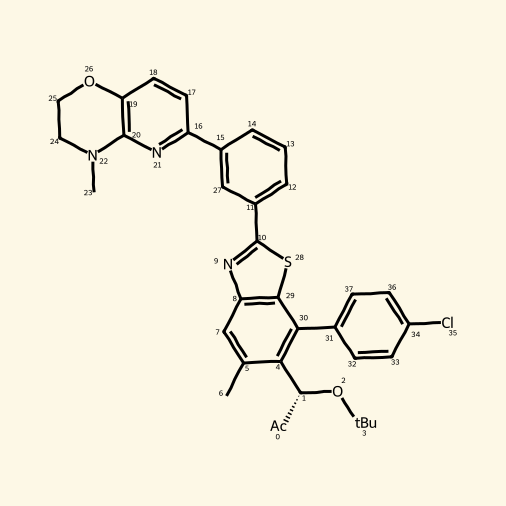 CC(=O)[C@@H](OC(C)(C)C)c1c(C)cc2nc(-c3cccc(-c4ccc5c(n4)N(C)CCO5)c3)sc2c1-c1ccc(Cl)cc1